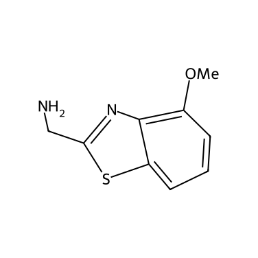 COc1cccc2sc(CN)nc12